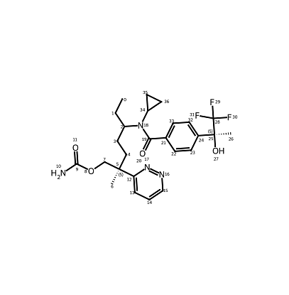 CCC(CC[C@](C)(COC(N)=O)c1cccnn1)N(C(=O)c1ccc([C@](C)(O)C(F)(F)F)cc1)C1CC1